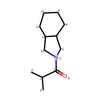 CC(C)C(=O)N1CC2CCCCC2C1